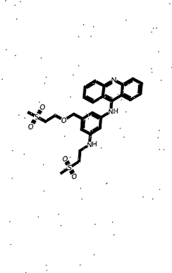 CS(=O)(=O)CCNc1cc(COCCS(C)(=O)=O)cc(Nc2c3ccccc3nc3ccccc23)c1